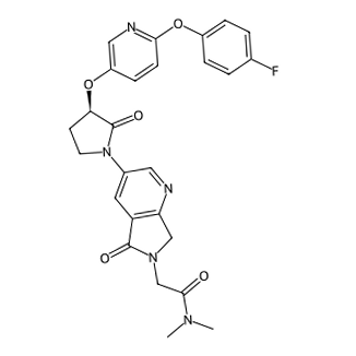 CN(C)C(=O)CN1Cc2ncc(N3CC[C@@H](Oc4ccc(Oc5ccc(F)cc5)nc4)C3=O)cc2C1=O